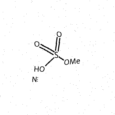 COS(=O)(=O)O.[N]